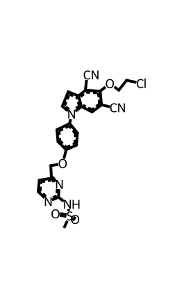 CS(=O)(=O)Nc1nccc(COc2ccc(-n3ccc4c(C#N)c(OCCCl)c(C#N)cc43)cc2)n1